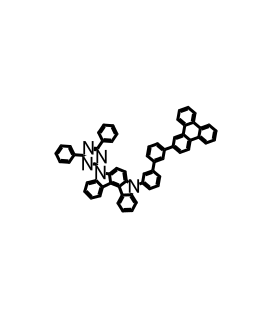 c1ccc(-c2nc(-c3ccccc3)nc(-n3c4ccccc4c4c5c6ccccc6n(-c6cccc(-c7cccc(-c8ccc9c%10ccccc%10c%10ccccc%10c9c8)c7)c6)c5ccc43)n2)cc1